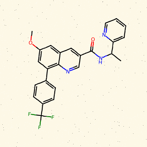 COc1cc(-c2ccc(C(F)(F)F)cc2)c2ncc(C(=O)NC(C)c3ccccn3)cc2c1